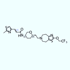 Cc1nc(/C=C/C(=O)N[C@H]2CC[C@H](CCN3CCc4nc(OCC(F)(F)F)sc4CC3)OC2)cs1